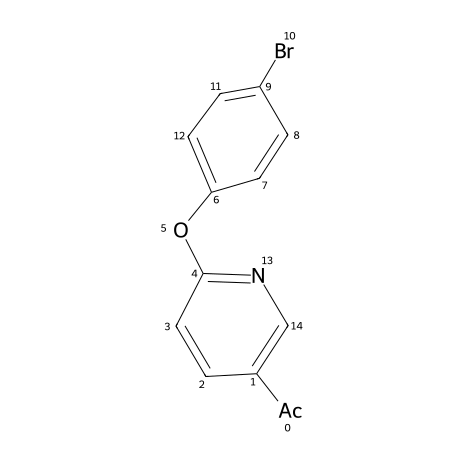 CC(=O)c1ccc(Oc2ccc(Br)cc2)nc1